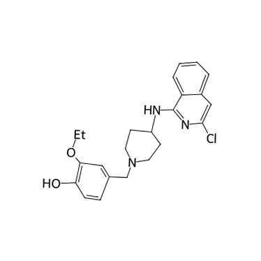 CCOc1cc(CN2CCC(Nc3nc(Cl)cc4ccccc34)CC2)ccc1O